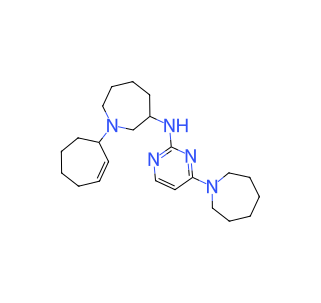 C1=CC(N2CCCCC(Nc3nccc(N4CCCCCC4)n3)C2)CCCC1